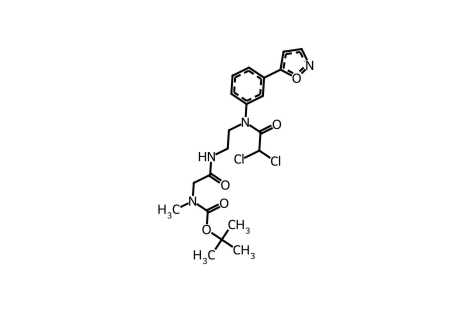 CN(CC(=O)NCCN(C(=O)C(Cl)Cl)c1cccc(-c2ccno2)c1)C(=O)OC(C)(C)C